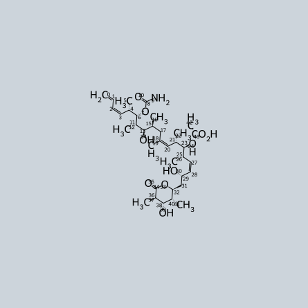 C=C/C=C\[C@H](C)[C@H](OC(N)=O)[C@@H](C)[C@H](O)[C@@H](C)C/C(C)=C\[C@H](C)[C@@H](O)[C@@H](C)/C=C\[C@@H](O)C[C@@H]1OC(=O)[C@H](C)[C@@H](O)[C@H]1C.CC(=O)O